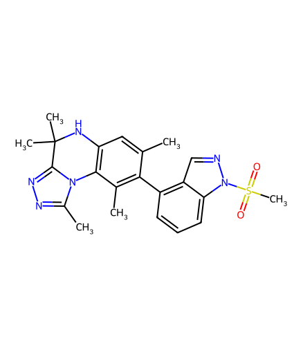 Cc1cc2c(c(C)c1-c1cccc3c1cnn3S(C)(=O)=O)-n1c(C)nnc1C(C)(C)N2